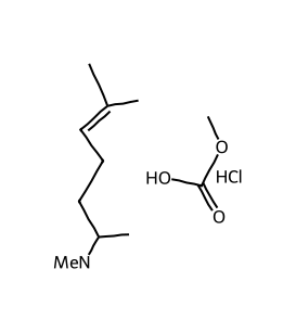 CNC(C)CCC=C(C)C.COC(=O)O.Cl